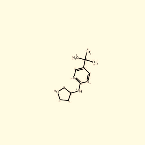 CC(C)(C)c1cnc(NC2CCOC2)nc1